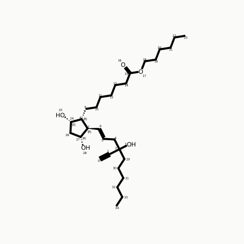 C#CC(O)(CC=C[C@@H]1[C@@H](CCCCCCC(=O)OCCCCCC)[C@@H](O)C[C@H]1O)CCCCCC